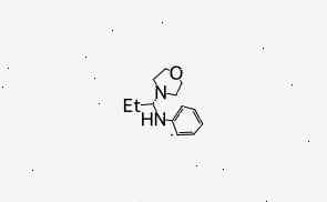 CCC(Nc1[c]cccc1)N1CCOCC1